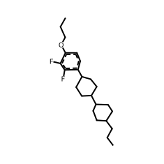 CCCOc1ccc(C2CCC(C3CCC(CCC)CC3)CC2)c(F)c1F